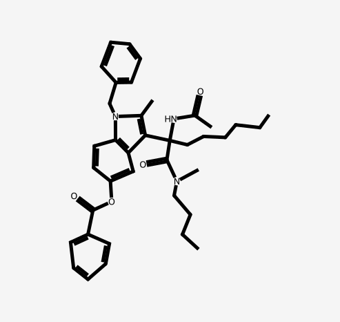 CCCCCCC(NC(C)=O)(C(=O)N(C)CCCC)c1c(C)n(Cc2ccccc2)c2ccc(OC(=O)c3ccccc3)cc12